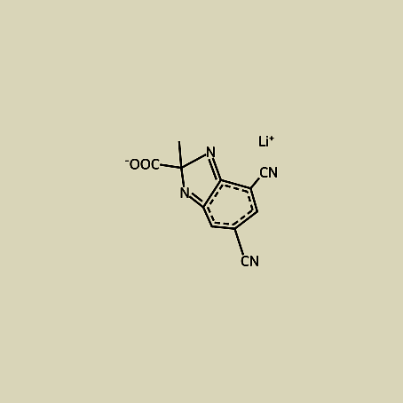 CC1(C(=O)[O-])N=c2cc(C#N)cc(C#N)c2=N1.[Li+]